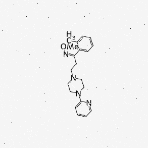 CON=C(CCN1CCN(c2ccccn2)CC1)c1ccccc1C